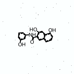 O=C(Nc1cccc(O)c1)c1cc2cccc(O)c2cc1O